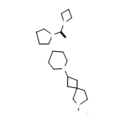 O=C(O)N1CCC2(CC(N3CCC([C@@H]4CCCN4C(=O)N4CCC4)CC3)C2)C1